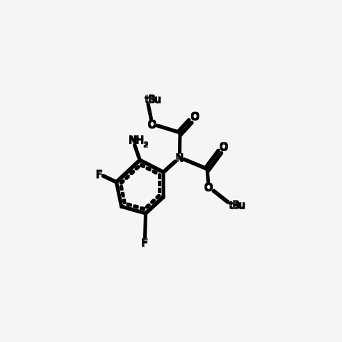 CC(C)(C)OC(=O)N(C(=O)OC(C)(C)C)c1cc(F)cc(F)c1N